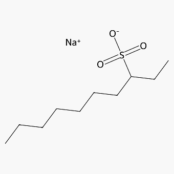 CCCCCCCC(CC)S(=O)(=O)[O-].[Na+]